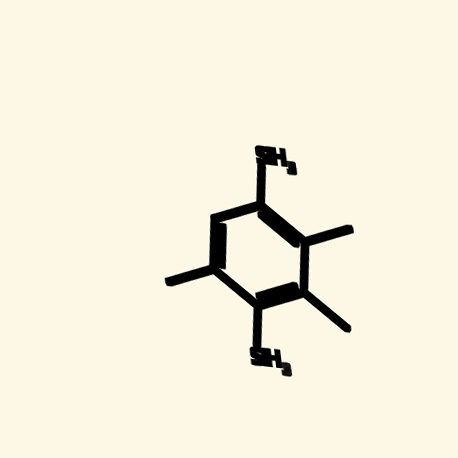 Cc1cc([SiH3])c(C)c(C)c1[SiH3]